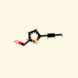 CC#Cc1ccc(C=O)s1